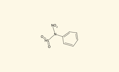 O=[N+]([O-])N(c1ccccc1)[SH](=O)=O